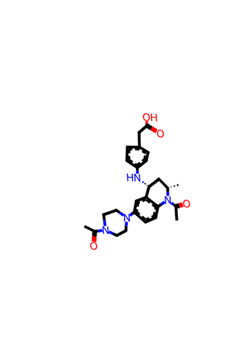 CC(=O)N1CCN(c2ccc3c(c2)[C@H](Nc2ccc(CC(=O)O)cc2)C[C@H](C)N3C(C)=O)CC1